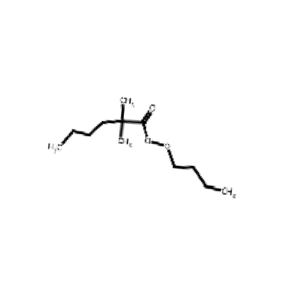 CCCCOOC(=O)C(C)(C)CCCC